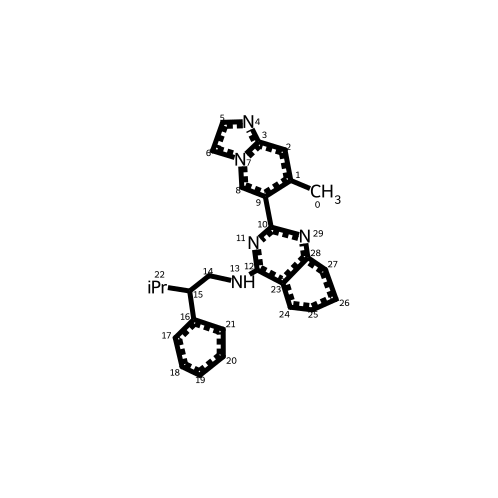 Cc1cc2nccn2cc1-c1nc(NCC(c2ccccc2)C(C)C)c2ccccc2n1